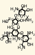 NC[C@@H]1O[C@H](O[C@H]2[C@@H](O)[C@H](O[C@@H]3[C@@H](O)[C@H](NC(CO)CO)C[C@H](N)[C@H]3O[C@H]3O[C@H](CN)[C@@H](O)C[C@H]3N)O[C@@H]2CO)[C@H](N)[C@@H](O)[C@@H]1O